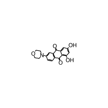 O=C1c2cc(N3CCOCC3)ccc2C(=O)c2c(O)cc(O)cc21